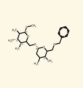 CO[C@H]1OC(CO[C@H]2CC(C)[C@H](C)C(COCc3ccccc3)O2)[C@@H](C)[C@H](C)C1C